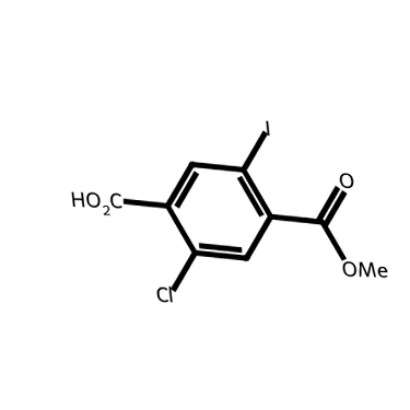 COC(=O)c1cc(Cl)c(C(=O)O)cc1I